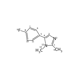 Cc1ncc(-c2ccc(F)cc2)n1C